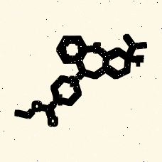 CCOC(=O)N1CCN(C2CC3=CCC(F)(C(C)C)C=C3Sc3ccccc32)CC1